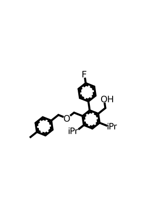 Cc1ccc(COCc2c(C(C)C)cc(C(C)C)c(CO)c2-c2ccc(F)cc2)cc1